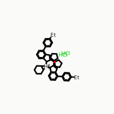 CCc1ccc(-c2cccc3c2C=C(C2CCCC2)[CH]3[Hf]2([CH]3C(C4CCCC4)=Cc4c(-c5ccc(CC)cc5)cccc43)[CH]3CCCC[CH]32)cc1.Cl.Cl